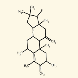 C=C1C(C)=C2C(C)CC3C(C(=C)CC4(C)C3CC(C)(C)C4F)C2(C)CC1C